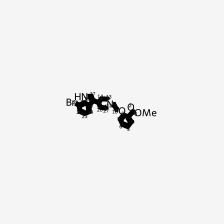 COC(=O)c1ccccc1OCCN1CCC(c2c[nH]c3c(Br)cccc23)CC1